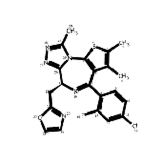 Cc1sc2c(c1C)C(c1ccc(Cl)cc1F)=N[C@@H](Cc1ncco1)c1nnc(C)n1-2